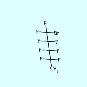 FC(F)(F)C(F)(F)C(F)(F)C(F)(F)C(F)(F)Br